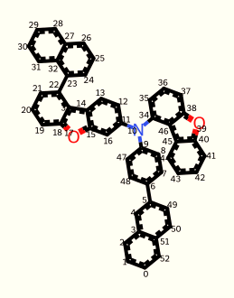 c1ccc2cc(-c3ccc(N(c4ccc5c(c4)oc4cccc(-c6cccc7ccccc67)c45)c4cccc5oc6ccccc6c45)cc3)ccc2c1